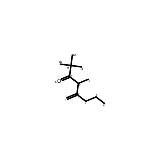 C=C(CCC)C(C)C(=O)C(C)(C)C